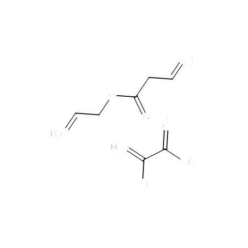 C=C(C)C(=O)O.C=CCOC(=O)CC=C